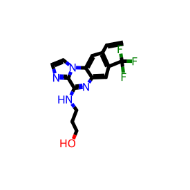 C=Cc1cc2c(cc1C(F)(F)F)nc(NCCCO)c1nccn12